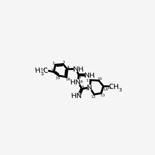 Cc1ccc(NC(=N)NC(=N)N2CCC(C)CC2)cc1